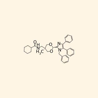 C[C@]1(CNC(=O)C2CCCCC2)CO[C@@H](c2nc(-c3ccccc3)c(-c3ccccc3)n2Cc2ccccc2)OC1